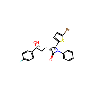 O=C1[C@H](CC[C@H](O)c2ccc(F)cc2)[C@@H](c2ccc(Br)s2)N1c1ccccc1